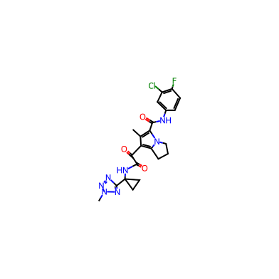 Cc1c(C(=O)C(=O)NC2(c3nnn(C)n3)CC2)c2n(c1C(=O)Nc1ccc(F)c(Cl)c1)CCC2